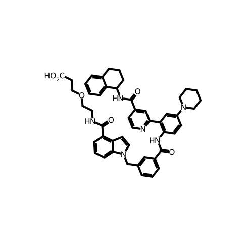 O=C(O)CCOCCNC(=O)c1cccc2c1ccn2Cc1cccc(C(=O)Nc2ccc(N3CCCCC3)cc2-c2cc(C(=O)NC3CCCc4ccccc43)ccn2)c1